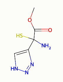 COC(=O)C(N)(S)c1c[nH]nn1